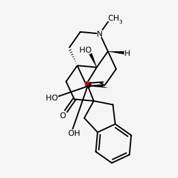 CN1CC[C@]23CC(=O)C4(Cc5ccccc5C4)C[C@@]2(O)[C@H]1Cc1ccc(O)c(O)c13